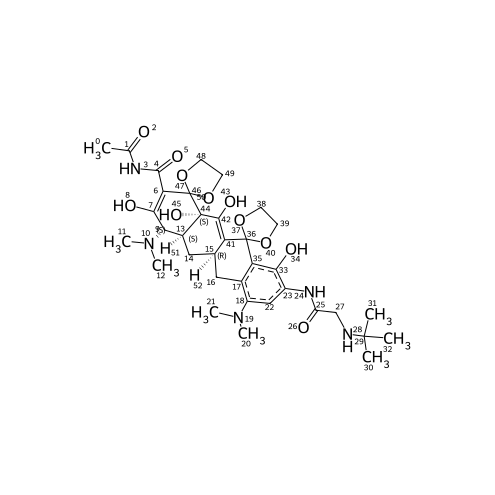 CC(=O)NC(=O)C1=C(O)[C@@H](N(C)C)[C@@H]2C[C@@H]3Cc4c(N(C)C)cc(NC(=O)CNC(C)(C)C)c(O)c4C4(OCCO4)C3=C(O)[C@]2(O)C12OCCO2